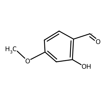 COc1ccc([C]=O)c(O)c1